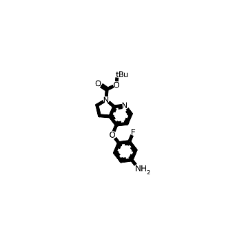 CC(C)(C)OC(=O)N1CCc2c(Oc3ccc(N)cc3F)ccnc21